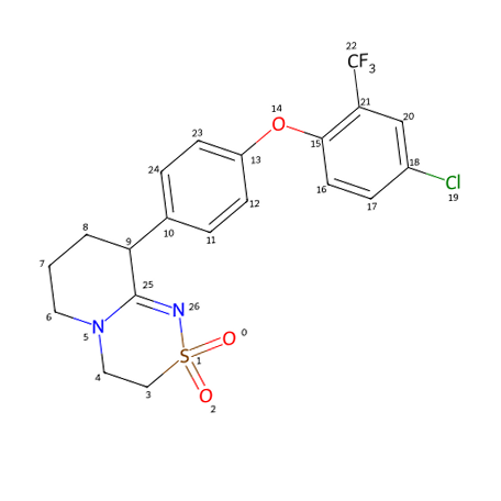 O=S1(=O)CCN2CCCC(c3ccc(Oc4ccc(Cl)cc4C(F)(F)F)cc3)C2=N1